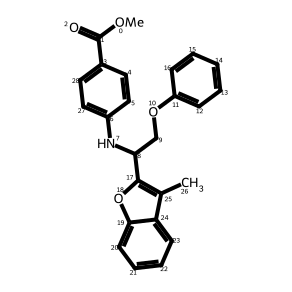 COC(=O)c1ccc(NC(COc2ccccc2)c2oc3ccccc3c2C)cc1